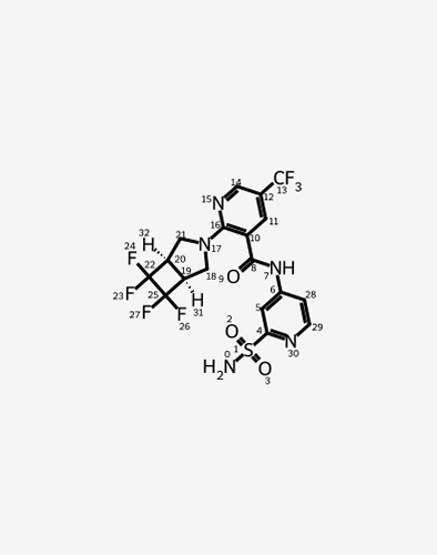 NS(=O)(=O)c1cc(NC(=O)c2cc(C(F)(F)F)cnc2N2C[C@@H]3[C@H](C2)C(F)(F)C3(F)F)ccn1